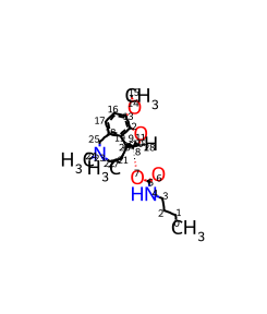 CCCCNC(=O)O[C@H]1C[C@@H]2Oc3c(OC)ccc4c3[C@]2(CCN(C)C4)C1C